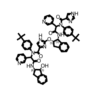 CC(C)(C)c1ccc(N(C(=O)c2c[nH]c(O[C@H]3Cc4ccccc4[C@@H]3NC(=O)C(c3cccnc3)N(C(=O)c3c[nH]cn3)c3ccc(C(C)(C)C)cc3)n2)C(C(=O)N[C@@H]2Cc3ccccc3[C@@H]2O)c2cccnc2)cc1